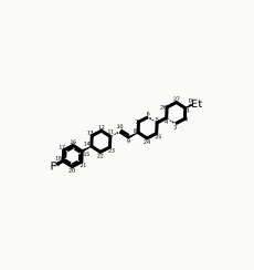 CC[C@H]1CC[C@H]([C@H]2CC[C@H](C=C[C@H]3CC[C@H](c4ccc(F)cc4)CC3)CC2)CC1